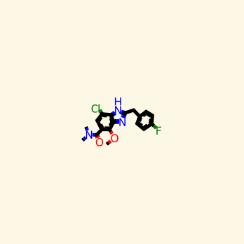 COc1c(C(=O)N(C)C)cc(Cl)c2[nH]c(Cc3ccc(F)cc3)nc12